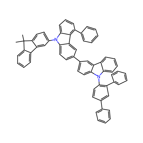 CC1(C)c2ccccc2-c2cc(-n3c4ccc(-c5ccc6c(c5)c5ccccc5n6-c5ccc(-c6ccccc6)cc5-c5ccccc5)cc4c4c(-c5ccccc5)cccc43)ccc21